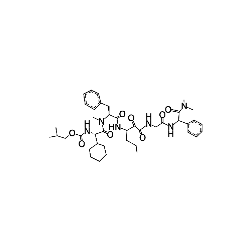 CCCC(NC(=O)[C@H](Cc1ccccc1)N(C)C(=O)[C@@H](NC(=O)OCC(C)C)C1CCCCC1)C(=O)C(=O)NCC(=O)NC(C(=O)N(C)C)c1ccccc1